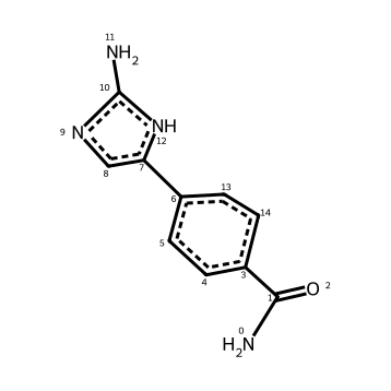 NC(=O)c1ccc(-c2cnc(N)[nH]2)cc1